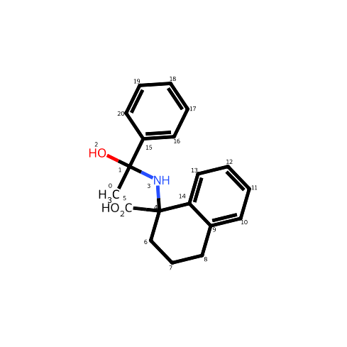 CC(O)(NC1(C(=O)O)CCCc2ccccc21)c1ccccc1